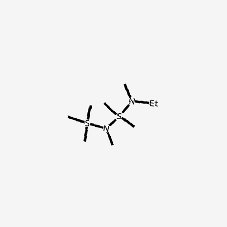 CCN(C)S(C)(C)N(C)S(C)(C)C